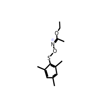 CCO/C(C)=N/OSc1c(C)cc(C)cc1C